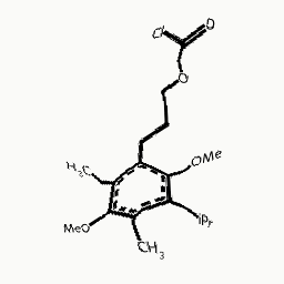 COc1c(C)c(CCCOC(=O)Cl)c(OC)c(C(C)C)c1C